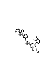 Cc1c(Cl)cccc1-c1cc(NCCc2cccc(NC(=O)NC(C)(C)C)c2)nc(N)n1